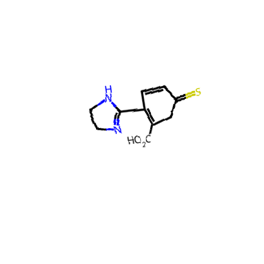 O=C(O)C1=C(C2=NCCN2)C=CC(=S)C1